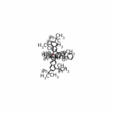 Cc1ccccc1S(=O)(=O)c1ccc(P(O)(O)(O)c2cc3c(C(C)(C)C(C)C)cc(C(C)(C)C(C)C)cc3cc2C(C)(C)C(C)C)c(-c2cc3c(C(C)(C)C(C)C)cc(C(C)(C)C(C)C)cc3cc2C(C)(C)C(C)C)c1